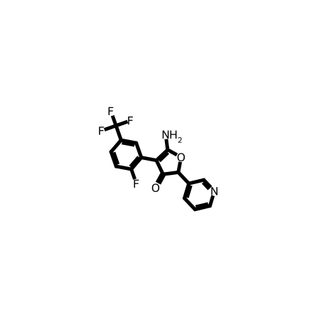 NC1=C(c2cc(C(F)(F)F)ccc2F)C(=O)C(c2cccnc2)O1